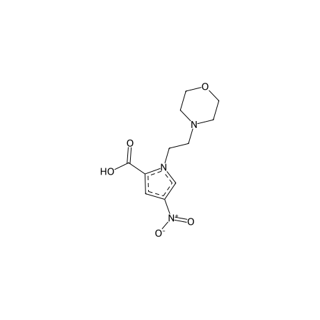 O=C(O)c1cc([N+](=O)[O-])cn1CCN1CCOCC1